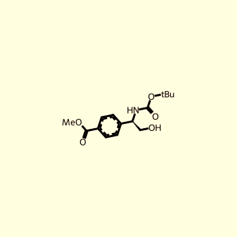 COC(=O)c1ccc([C@H](CO)NC(=O)OC(C)(C)C)cc1